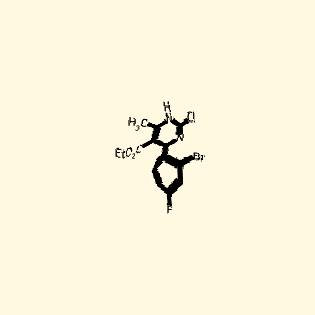 CCOC(=O)C1=C(C)NC(Cl)=NC1c1ccc(F)cc1Br